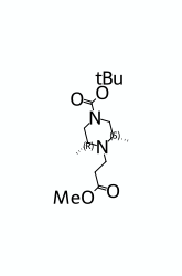 COC(=O)CCN1[C@H](C)CN(C(=O)OC(C)(C)C)C[C@@H]1C